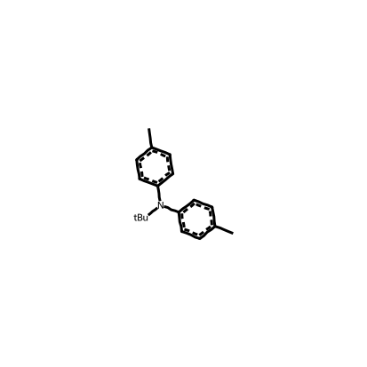 Cc1ccc(N(c2ccc(C)cc2)C(C)(C)C)cc1